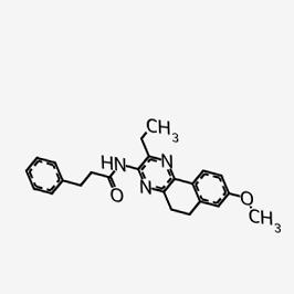 CCc1nc2c(nc1NC(=O)CCc1ccccc1)CCc1cc(OC)ccc1-2